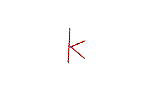 CCCCCCCCCCCCCCCCCCCCCCCN(CCCCCCCCCCCCCCCCCCCCCCC)CCN(CCCCCCCCCCCCCCCCCCCCCCC)CCCCCCCCCCCCCCCCCCCCCCC